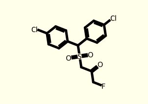 O=C(CF)CS(=O)(=O)C(c1ccc(Cl)cc1)c1ccc(Cl)cc1